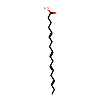 CC/C=C/C/C=C/C/C=C/CC/C=C/CCCC(=O)O